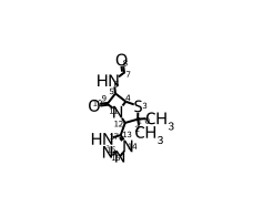 CC1(C)SC2C(NC=O)C(=O)N2C1c1nnn[nH]1